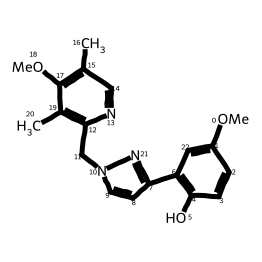 COc1ccc(O)c(-c2ccn(Cc3ncc(C)c(OC)c3C)n2)c1